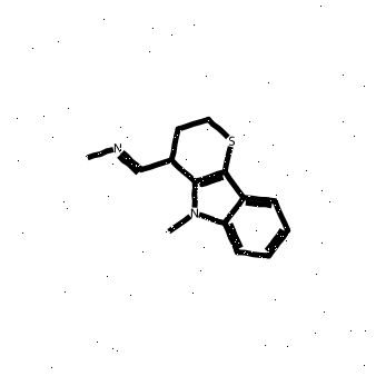 CN=CC1CCSc2c1n(C)c1ccccc21